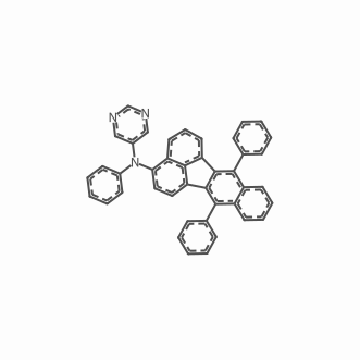 c1ccc(-c2c3c(c(-c4ccccc4)c4ccccc24)-c2ccc(N(c4ccccc4)c4cncnc4)c4cccc-3c24)cc1